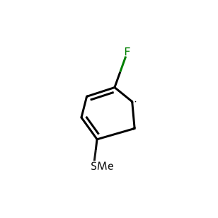 CSC1=CC=C(F)[CH]C1